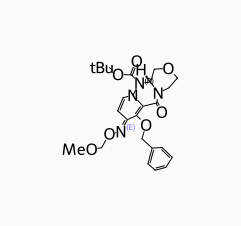 COCO/N=c1\ccn2c(c1OCc1ccccc1)C(=O)N1CCOC[C@H]1N2C(=O)OC(C)(C)C